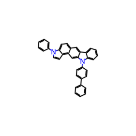 c1ccc(-c2ccc(-n3c4ccccc4c4cc5ccc6c(ccn6-c6ccccc6)c5cc43)cc2)cc1